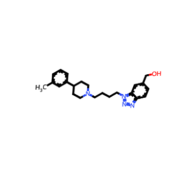 Cc1cccc(C2CCN(CCCCn3nnc4ccc(CO)cc43)CC2)c1